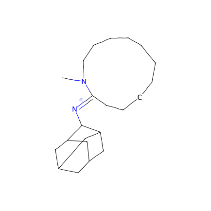 CN1CCCCCCCCCC/C1=N\C1C2CC3CC(C2)CC1C3